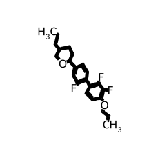 CCCOc1ccc(-c2ccc(C3CCC(CCC)CO3)cc2F)c(F)c1F